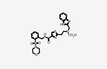 O=C(NCc1ccccc1S(=O)(=O)N1CCOCC1)c1csc(CCN(Cc2nc3ccccc3[nH]2)C(=O)O)n1